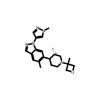 Cc1cc2cnn(-c3cnn(C)c3)c2cc1C1CCN(C2(C)COC2)C[C@H]1C